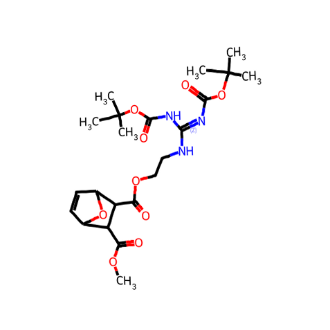 COC(=O)C1C2C=CC(O2)C1C(=O)OCCN/C(=N/C(=O)OC(C)(C)C)NC(=O)OC(C)(C)C